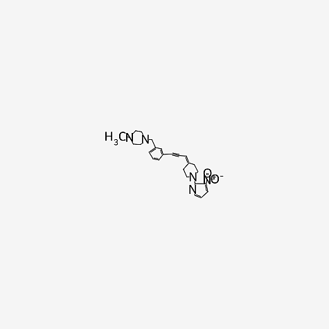 CN1CCN(Cc2cccc(C#CC=C3CCN(c4ncccc4[N+](=O)[O-])CC3)c2)CC1